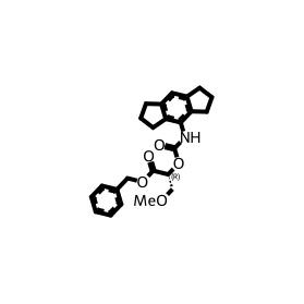 COC[C@@H](OC(=O)Nc1c2c(cc3c1CCC3)CCC2)C(=O)OCc1ccccc1